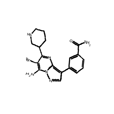 NC(=O)c1cccc(-c2cnn3c(N)c(Br)c(C4CCCNC4)nc23)c1